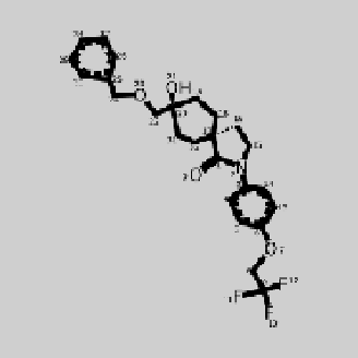 O=C1N(c2ccc(OCC(F)(F)F)cc2)CC[C@]12CC[C@@](O)(COCc1ccccc1)CC2